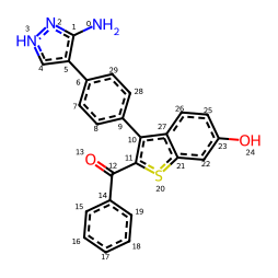 Nc1n[nH]cc1-c1ccc(-c2c(C(=O)c3ccccc3)sc3cc(O)ccc23)cc1